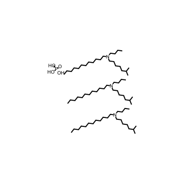 CCCCCCCCCCCCN(CCCC)CCCCCC(C)C.CCCCCCCCCCCCN(CCCC)CCCCCC(C)C.CCCCCCCCCCCCN(CCCC)CCCCCC(C)C.O=P(O)(O)O